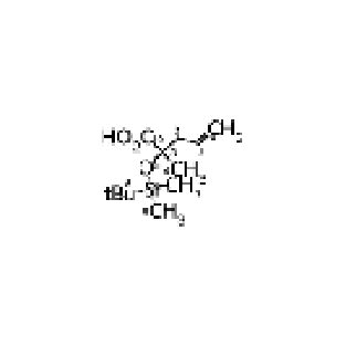 C=CCC(C)(O[Si](C)(C)C(C)(C)C)C(=O)O